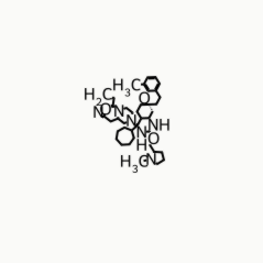 C=CC(=O)N1CCN(C2(C3CCCCCC3)NC(OCC3CCCN3C)NC3C[C@]4(CCc5cccc(C)c5O4)CCC32)CC1CC#N